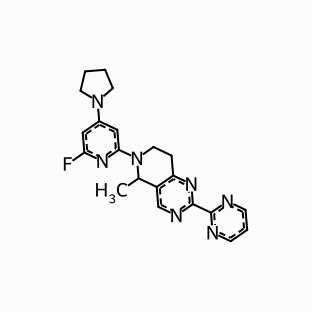 CC1c2cnc(-c3ncccn3)nc2CCN1c1cc(N2CCCC2)cc(F)n1